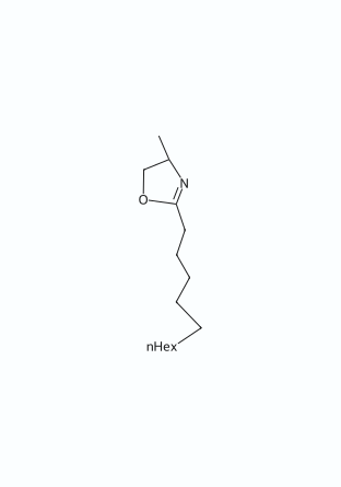 CCCCCCCCCCCC1=NC(C)CO1